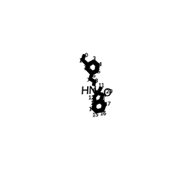 CCc1cccc(CCNC2(C)Cc3ccccc3C2=O)c1